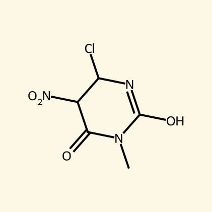 CN1C(=O)C([N+](=O)[O-])C(Cl)N=C1O